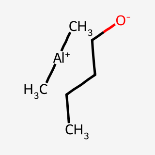 CCCC[O-].[CH3][Al+][CH3]